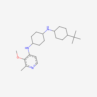 COc1c(NC2CCC(NC3CCC(C(C)(C)C)CC3)CC2)ccnc1C